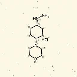 Cl.NN[C@H]1CC[C@H](N2CCOCC2)CC1